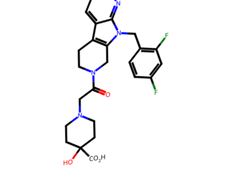 O=C(CN1CCC(O)(C(=O)O)CC1)N1CCc2c(n(Cc3ccc(F)cc3F)c3ncccc23)C1